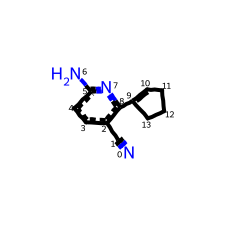 N#Cc1ccc(N)nc1C1=CCCC1